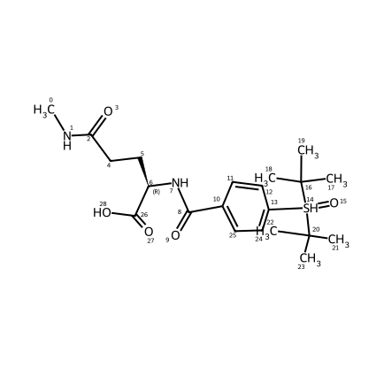 CNC(=O)CC[C@@H](NC(=O)c1ccc([SH](=O)(C(C)(C)C)C(C)(C)C)cc1)C(=O)O